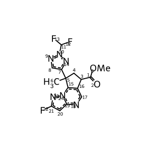 COC(=O)C1CC(C)(c2cnn(C(F)F)n2)c2c1cnc1cc(F)nn21